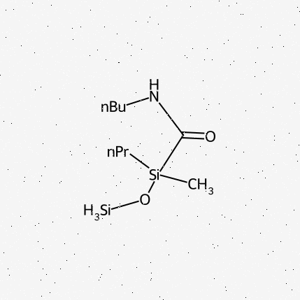 CCCCNC(=O)[Si](C)(CCC)O[SiH3]